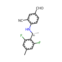 Cc1cc(F)c([C@@H](C)Nc2ccc(C=O)cc2C#N)c(F)c1